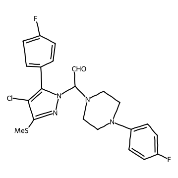 CSc1nn(C(C=O)N2CCN(c3ccc(F)cc3)CC2)c(-c2ccc(F)cc2)c1Cl